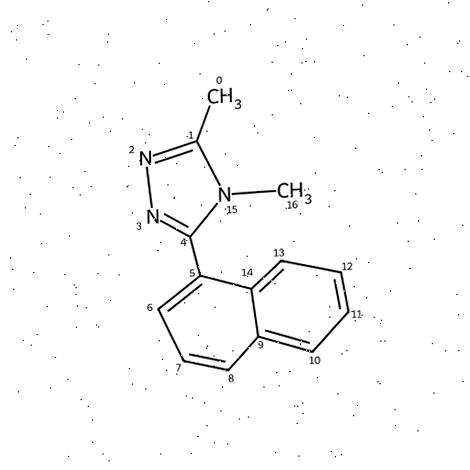 Cc1nnc(-c2cccc3ccccc23)n1C